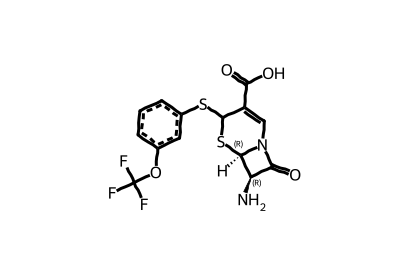 N[C@@H]1C(=O)N2C=C(C(=O)O)C(Sc3cccc(OC(F)(F)F)c3)S[C@H]12